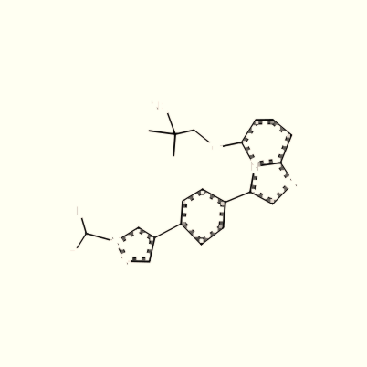 CC(C)(C#N)COc1cccc2ncc(-c3ccc(-c4cnn(C(F)F)c4)cc3)n12